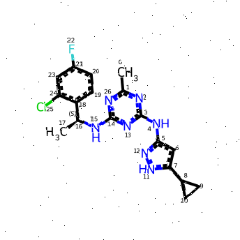 Cc1nc(Nc2cc(C3CC3)[nH]n2)nc(N[C@@H](C)c2ccc(F)cc2Cl)n1